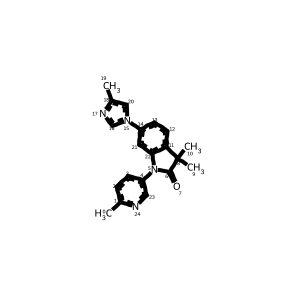 Cc1ccc(N2C(=O)C(C)(C)c3ccc(-n4cnc(C)c4)cc32)cn1